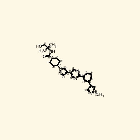 Cn1cc(-c2cccc(-c3ncc(-c4cnn([C@H]5CC[C@H](C(=O)NC(C)(C)CO)CC5)c4)cn3)c2)cn1